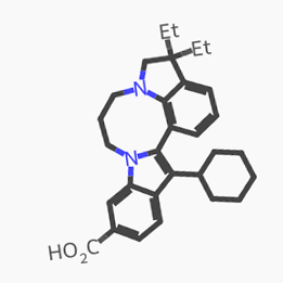 CCC1(CC)CN2CCCn3c(c(C4CCCCC4)c4ccc(C(=O)O)cc43)-c3cccc1c32